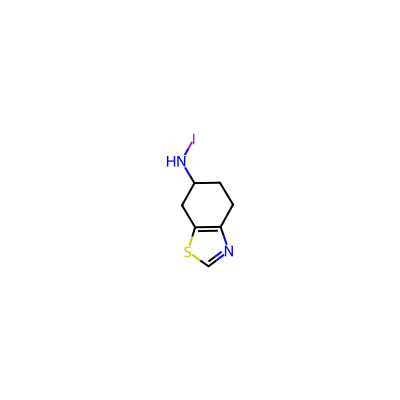 INC1CCc2ncsc2C1